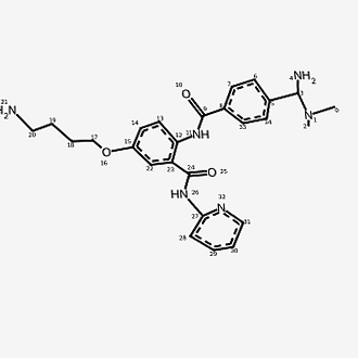 CN(C)C(N)c1ccc(C(=O)Nc2ccc(OCCCCN)cc2C(=O)Nc2ccccn2)cc1